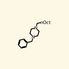 CCCCCCCCCN1CCN(Cc2ccccc2)CC1